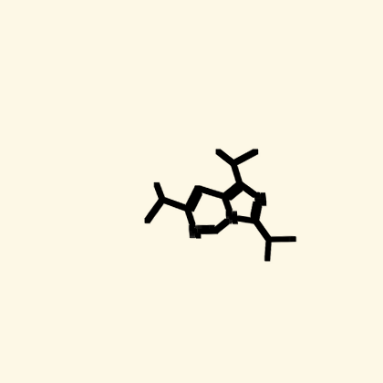 CC(C)c1cc2c(C(C)C)nc(C(C)C)n2cn1